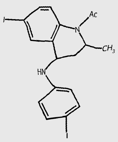 CC(=O)N1c2ccc(I)cc2C(Nc2ccc(I)cc2)CC1C